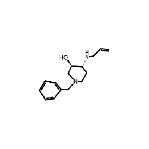 C=CCN[C@@H]1CCN(Cc2ccccc2)C[C@H]1O